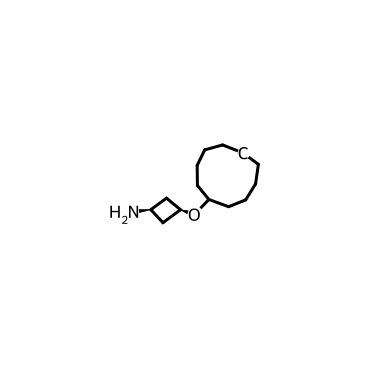 N[C@H]1C[C@@H](OC2CCCCCCCCC2)C1